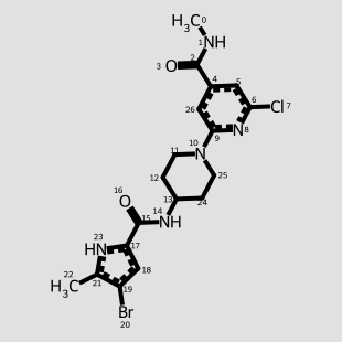 CNC(=O)c1cc(Cl)nc(N2CCC(NC(=O)c3cc(Br)c(C)[nH]3)CC2)c1